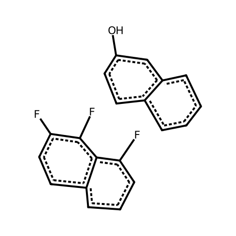 Fc1ccc2cccc(F)c2c1F.Oc1ccc2ccccc2c1